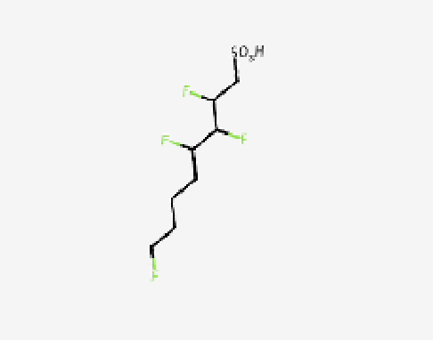 O=S(=O)(O)CC(F)C(F)C(F)CCCCF